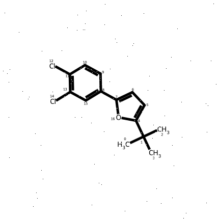 CC(C)(C)c1ccc(-c2ccc(Cl)c(Cl)c2)o1